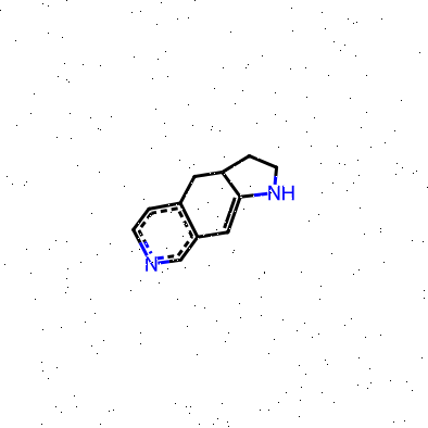 C1=C2NCCC2Cc2ccncc21